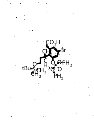 CC(C)(CCO[Si](C)(C)C(C)(C)C)c1c(CC(=O)O)cc(Br)cc1OP(=O)(OP)OP